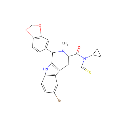 CN1C(C(=O)N(C=S)C2CC2)Cc2c([nH]c3ccc(Br)cc23)C1c1ccc2c(c1)OCO2